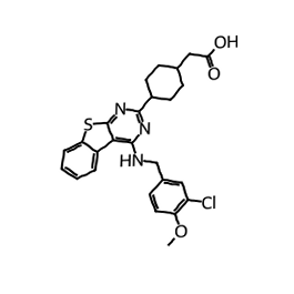 COc1ccc(CNc2nc(C3CCC(CC(=O)O)CC3)nc3sc4ccccc4c23)cc1Cl